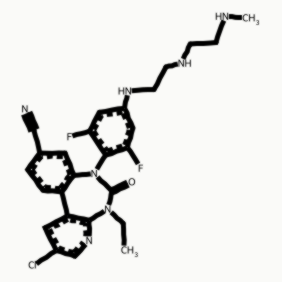 CCN1C(=O)N(c2c(F)cc(NCCNCCNC)cc2F)c2cc(C#N)ccc2-c2cc(Cl)cnc21